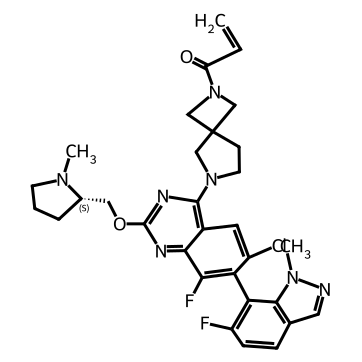 C=CC(=O)N1CC2(CCN(c3nc(OC[C@@H]4CCCN4C)nc4c(F)c(-c5c(F)ccc6cnn(C)c56)c(Cl)cc34)C2)C1